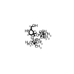 CC(C)(C)[Si](C)(C)OCC1(CO[Si](C)(C)C(C)(C)C)CCNC(CO)C1